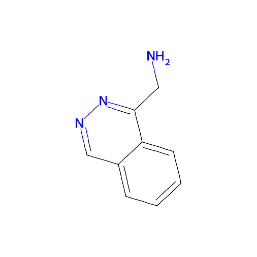 NCc1nncc2ccccc12